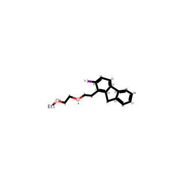 CCOCCOCCc1c(I)ccc2c1Cc1ccccc1-2